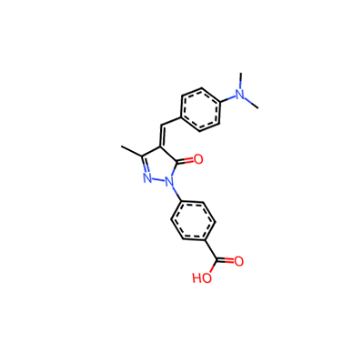 CC1=NN(c2ccc(C(=O)O)cc2)C(=O)/C1=C\c1ccc(N(C)C)cc1